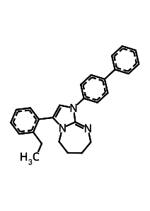 CCc1ccccc1C1=CN(c2ccc(-c3ccccc3)cc2)C2=NCCCCN12